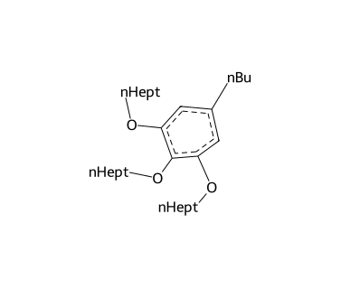 [CH2]CCCc1cc(OCCCCCCC)c(OCCCCCCC)c(OCCCCCCC)c1